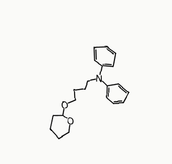 c1ccc(N(CCCCOC2CCCCO2)c2ccccc2)cc1